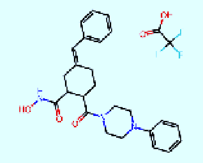 O=C(NO)C1CC(=Cc2ccccc2)CCC1C(=O)N1CCN(c2ccccc2)CC1.O=C(O)C(F)(F)F